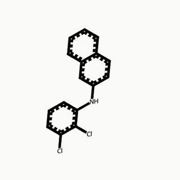 Clc1cccc(Nc2ccc3ccccc3c2)c1Cl